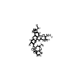 CC[C@@H]1CN(Cc2cc(C(CC(=O)NC(C)C(N)=O)c3ccc4c(nnn4CC)c3C)ccc2C)S(=O)(=O)c2cccnc2O1